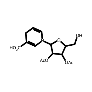 CC(=O)OC1C(CO)OC(N2C=CCC(C(=O)O)=C2)C1OC(C)=O